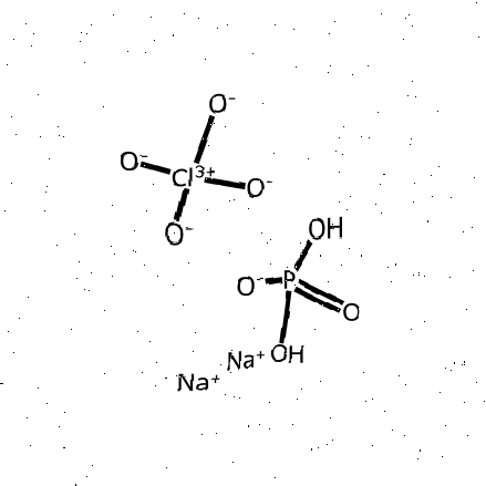 O=P([O-])(O)O.[Na+].[Na+].[O-][Cl+3]([O-])([O-])[O-]